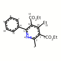 CCOC(=O)c1c(C)nc(-c2ccccc2)c(C(=O)OCC)c1CC